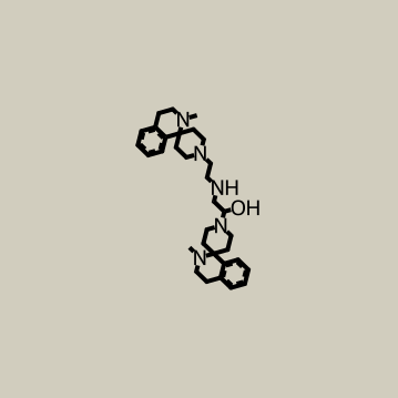 CN1CCc2ccccc2C12CCN(CCNCC(O)N1CCC3(CC1)c1ccccc1CCN3C)CC2